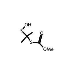 COC(=O)SC(C)(C)SO